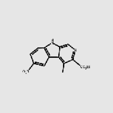 CCOC(=O)c1ncc2[nH]c3ccc([N+](=O)[O-])cc3c2c1C